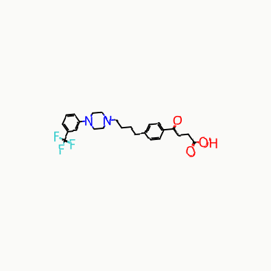 O=C(O)CCC(=O)c1ccc(CCCCN2CCN(c3cccc(C(F)(F)F)c3)CC2)cc1